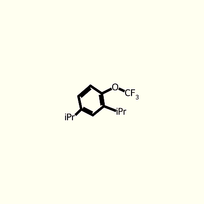 CC(C)c1ccc(OC(F)(F)F)c(C(C)C)c1